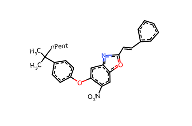 CCCCCC(C)(C)c1ccc(Oc2cc3nc(C=Cc4ccccc4)oc3cc2[N+](=O)[O-])cc1